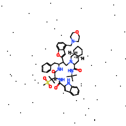 CC(C)(C)NC(=O)C1C[C@@H]2CCCC[C@@H]2CN1CC(c1cc2c(CN3CCOCC3)cccc2o1)C(Cc1ccccc1)NC(=O)[C@@H](NC(=O)c1cc2ccccc2[nH]1)C(C)(C)S(C)(=O)=O